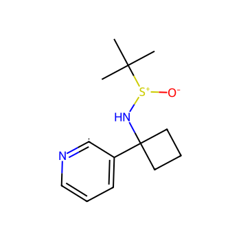 CC(C)(C)[S+]([O-])NC1(c2[c]nccc2)CCC1